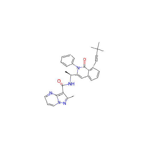 Cc1nn2cccnc2c1C(=O)N[C@@H](C)c1cc2cccc(C#CC(C)(C)C)c2c(=O)n1-c1ccccc1